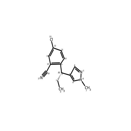 CC[C@@H](c1cnn(C)c1)c1ccc(Cl)cc1C#N